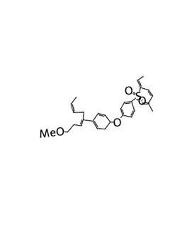 C=C(C)/C=C\C(=C/C)S(=O)(=O)c1ccc(OC2C=CC(/C(=C/CCOC)C/C=C\C)=CC2)cc1